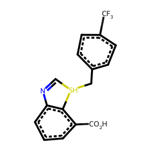 O=C(O)c1cccc2c1[SH](Cc1ccc(C(F)(F)F)cc1)C=N2